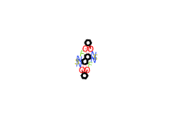 Fc1c(B2Oc3ccccc3O2)c2nsnc2c2c(F)c(B3Oc4ccccc4O3)c3nsnc3c12